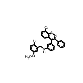 COc1ccc(Br)c(CNc2cccc(-c3c(-c4ccccc4)nnc4c(Cl)cccc34)c2)c1